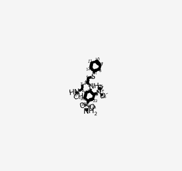 CNCC[C@H](CSc1ccccc1)Nc1ccc(S(N)(=O)=O)cc1[N+](=O)[O-]